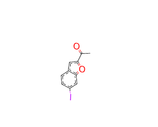 CC(=O)c1cc2ccc(I)cc2o1